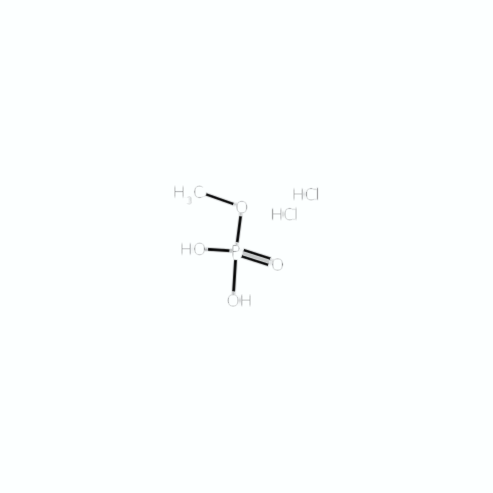 COP(=O)(O)O.Cl.Cl